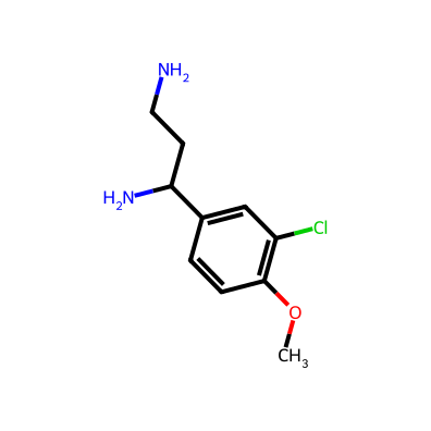 COc1ccc(C(N)CCN)cc1Cl